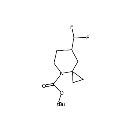 CC(C)(C)OC(=O)N1CCC(C(F)F)CC12CC2